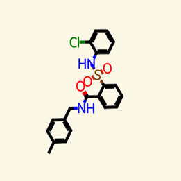 Cc1ccc(CNC(=O)c2ccccc2S(=O)(=O)Nc2ccccc2Cl)cc1